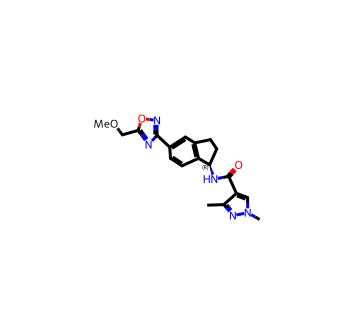 COCc1nc(-c2ccc3c(c2)CC[C@H]3NC(=O)c2cn(C)nc2C)no1